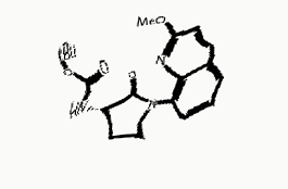 COc1ccc2cccc(N3CC[C@H](NC(=O)OC(C)(C)C)C3=O)c2n1